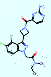 CN(CC(F)(F)F)C(=O)Cn1nc(C2CN(C(=O)c3ccnc(N)n3)C2)c2c(Cl)c(F)ccc21